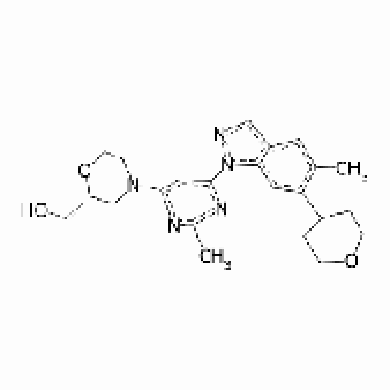 Cc1nc(N2CCO[C@@H](CO)C2)cc(-n2ncc3cc(C)c(C4CCOCC4)cc32)n1